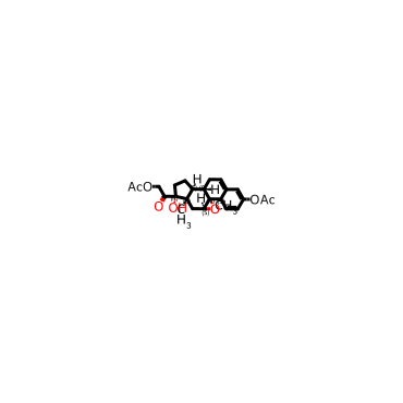 CC(=O)OCC(=O)[C@@]1(O)CC[C@H]2[C@@H]3CC=C4C=C(OC(C)=O)C=C[C@]4(C)[C@@]34O[C@H]4C[C@@]21C